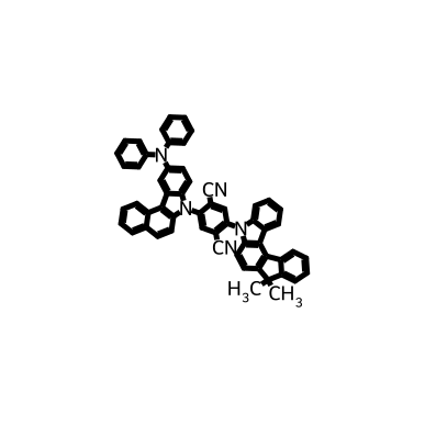 CC1(C)c2ccccc2-c2c1ccc1c2c2ccccc2n1-c1cc(C#N)c(-n2c3ccc(N(c4ccccc4)c4ccccc4)cc3c3c4ccccc4ccc32)cc1C#N